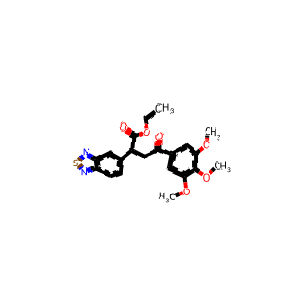 CCOC(=O)C(CC(=O)c1cc(OC)c(OC)c(OC)c1)c1ccc2nsnc2c1